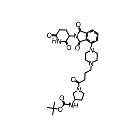 CC(C)(C)OC(=O)N[C@@H]1CCN(C(=O)CCCN2CCN(c3cccc4c3C(=O)N(C3CCC(=O)NC3=O)C4=O)CC2)C1